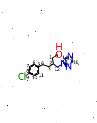 OCC(CCc1ccc(Cl)cc1)Cn1cncn1